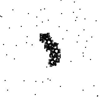 O=C(Nc1cccc(C(=O)N(Br)c2ccc(C(F)(C(F)(F)F)C(F)(F)F)cc2C(F)(F)F)c1F)c1cccnc1Cl